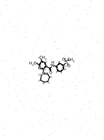 Cc1cc(C(=O)Nc2cccc(S(C)(=O)=O)c2)c(N2CCCCCC2)nc1C